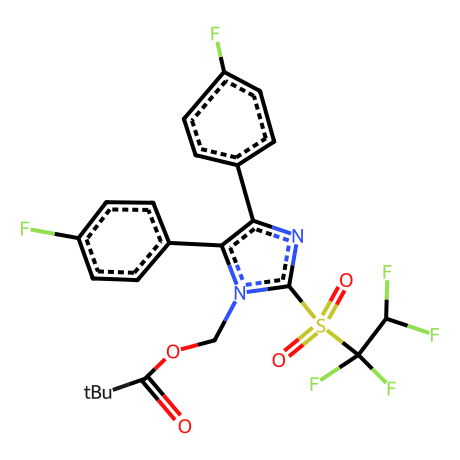 CC(C)(C)C(=O)OCn1c(S(=O)(=O)C(F)(F)C(F)F)nc(-c2ccc(F)cc2)c1-c1ccc(F)cc1